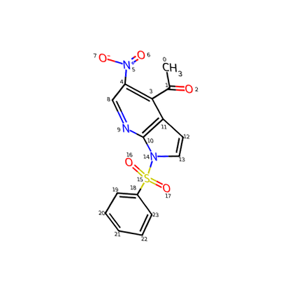 CC(=O)c1c([N+](=O)[O-])cnc2c1ccn2S(=O)(=O)c1ccccc1